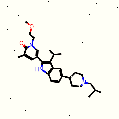 COCCn1cc(-c2[nH]c3ccc(C4CCN(CC(C)C)CC4)cc3c2C(C)C)cc(C)c1=O